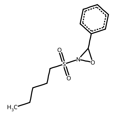 CCCCCS(=O)(=O)N1OC1c1ccccc1